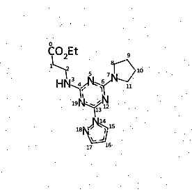 CCOC(=O)CCNc1nc(N2CCCC2)nc(-n2cccn2)n1